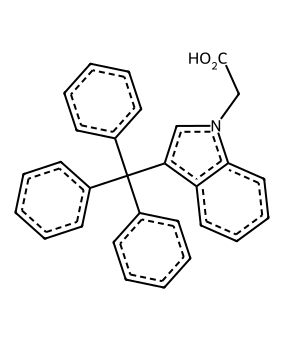 O=C(O)Cn1cc(C(c2ccccc2)(c2ccccc2)c2ccccc2)c2ccccc21